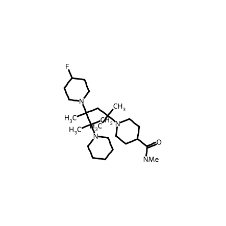 CNC(=O)C1CCN(C(C)(C)CC(C)(N2CCC(F)CC2)C(C)(C)N2CCCCC2)CC1